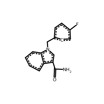 NC(=O)c1cn(Cc2ccc(F)cc2)c2cc[c]cc12